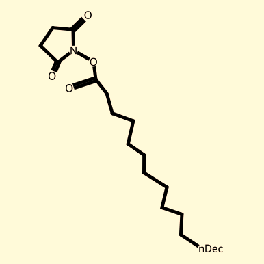 CCCCCCCCCCCCCCCCCCCCC(=O)ON1C(=O)CCC1=O